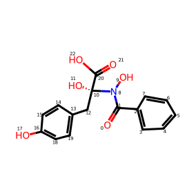 O=C(c1ccccc1)N(O)[C@@](O)(Cc1ccc(O)cc1)C(=O)O